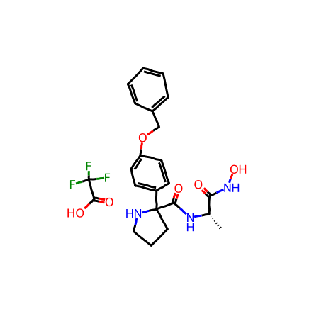 C[C@H](NC(=O)C1(c2ccc(OCc3ccccc3)cc2)CCCN1)C(=O)NO.O=C(O)C(F)(F)F